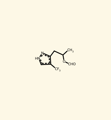 CC(Cc1n[nH]cc1C(F)(F)F)OC=O